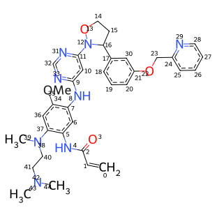 C=CC(=O)Nc1cc(Nc2cc(N3OCCC3c3cccc(OCc4ccccn4)c3)ncn2)c(OC)cc1N(C)CCN(C)C